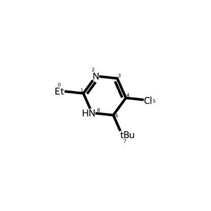 CCC1=NC=C(Cl)C(C(C)(C)C)N1